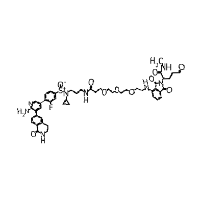 CNC(=O)C(CCC=O)N1C(=O)c2cccc(NCCOCCOCCOCCC(=O)NCCCN(C3CC3)[S+]([O-])c3ccc(-c4cnc(N)c(-c5ccc6c(c5)CCNC6=O)c4)c(F)c3)c2C1=O